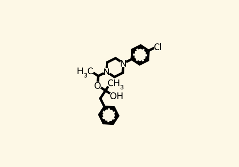 CC(OC(C)(O)Cc1ccccc1)N1CCN(c2ccc(Cl)cc2)CC1